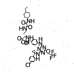 CCC1CCC(NC(=O)C(=O)NCC[C@H](NC(=O)c2ccc(Nc3nc(NC4(c5ccc(Cl)cc5)CC4)nc(OCC(F)(F)F)n3)cc2)C(=O)O)CC1